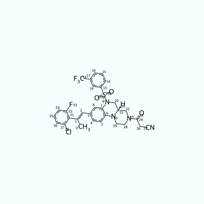 C/C(=C\c1ccc2c(c1)N(S(=O)(=O)c1cccc(C(F)(F)F)c1)C[C@@H]1CN(C(=O)CC#N)CCN21)c1c(F)cccc1Cl